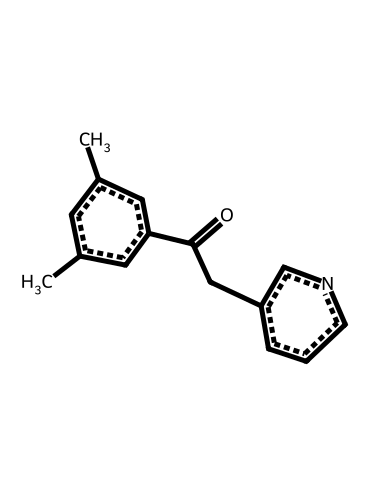 Cc1cc(C)cc(C(=O)Cc2cccnc2)c1